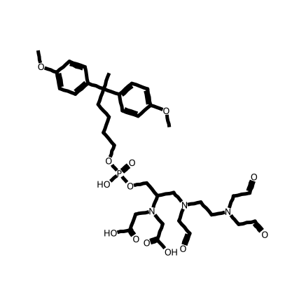 COc1ccc(C(C)(CCCCOP(=O)(O)OCC(CN(CC=O)CCN(CC=O)CC=O)N(CC(=O)O)CC(=O)O)c2ccc(OC)cc2)cc1